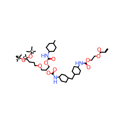 C=CC(=O)OCCOC(=O)NC1CCC(CC2CCC(NC(=O)OC(COCCC[Si](C)(O[Si](C)(C)C)O[Si](C)(C)C)COC(=O)NC3CCC(C)CC3)CC2)CC1